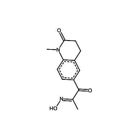 CC(=NO)C(=O)c1ccc2c(c1)CCC(=O)N2C